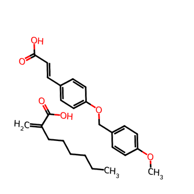 C=C(CCCCCC)C(=O)O.COc1ccc(COc2ccc(C=CC(=O)O)cc2)cc1